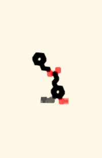 COc1cc(CCC(=O)OCCc2ccccc2)ccc1O